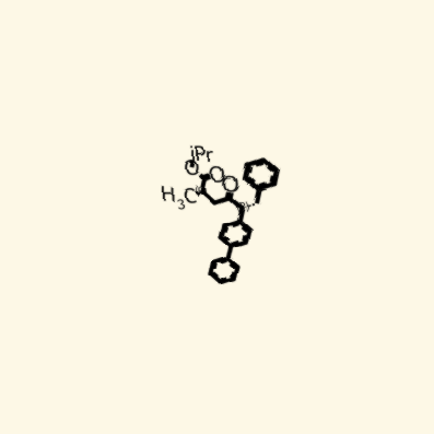 CC(C)OC(=O)[C@H](C)CC(=O)[C@H](Cc1ccccc1)c1ccc(-c2ccccc2)cc1